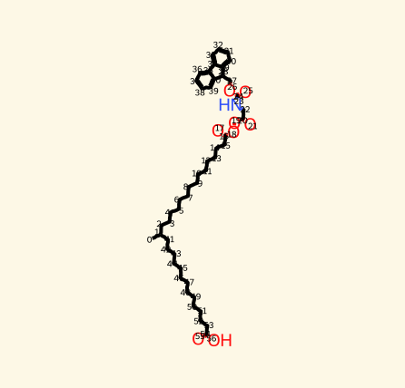 CC(CCCCCCCCCCCCCCC(=O)OOC(=O)CNC(=O)OCC1c2ccccc2-c2ccccc21)CCCCCCCCCCCCCC(=O)O